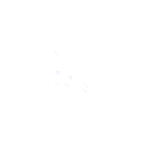 CCC(=O)N1CCC(Oc2ncnc3c2nc(-c2cnn(-c4ccccc4)c2C)n3C)C1